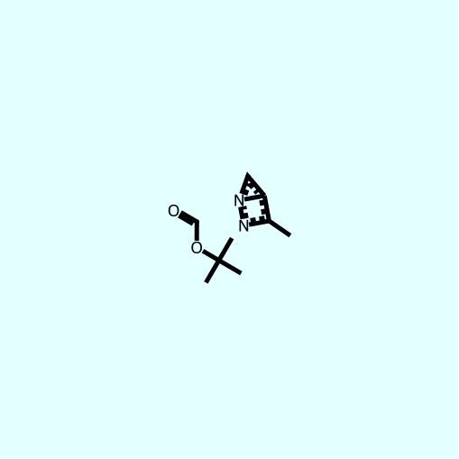 CC(C)(C)OC=O.Cc1nn2cc1-2